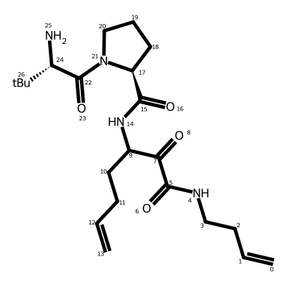 C=CCCNC(=O)C(=O)C(CCC=C)NC(=O)[C@@H]1CCCN1C(=O)[C@@H](N)C(C)(C)C